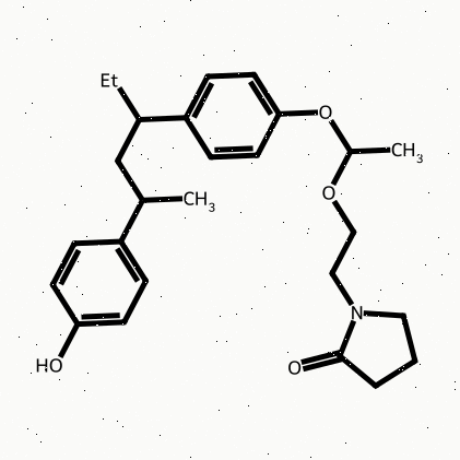 CCC(CC(C)c1ccc(O)cc1)c1ccc(OC(C)OCCN2CCCC2=O)cc1